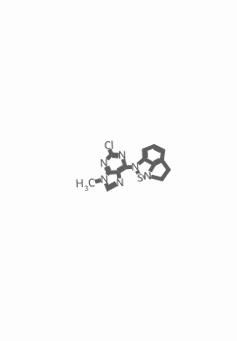 Cn1cnc2c(N3SN4CCc5cccc3c54)nc(Cl)nc21